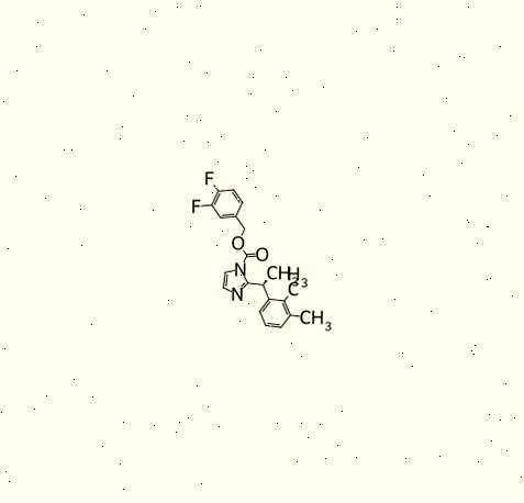 Cc1cccc([C@H](C)c2nccn2C(=O)OCc2ccc(F)c(F)c2)c1C